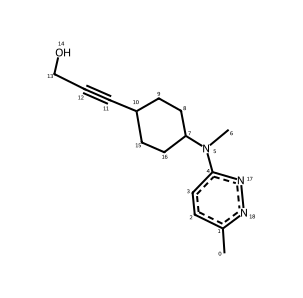 Cc1ccc(N(C)C2CCC(C#CCO)CC2)nn1